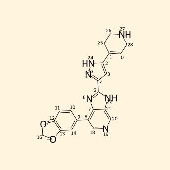 C1=C(c2cc(-c3nc4c(-c5ccc6c(c5)OCO6)cncc4[nH]3)n[nH]2)CCNC1